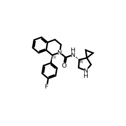 O=C(N[C@H]1CNCC12CC2)N1CCc2ccccc2[C@@H]1c1ccc(F)cc1